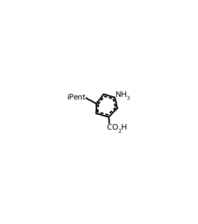 CCCC(C)c1cccc(C(=O)O)c1.N